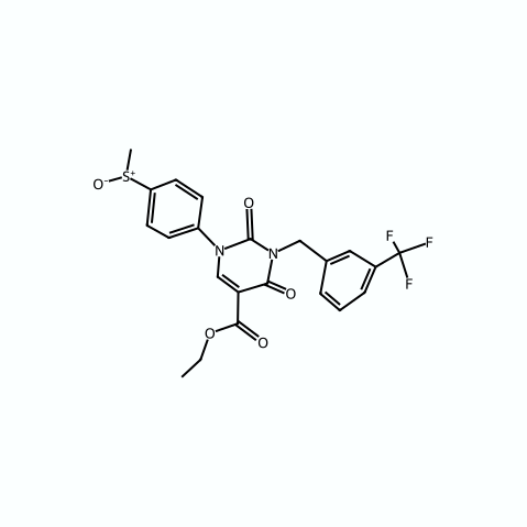 CCOC(=O)c1cn(-c2ccc([S+](C)[O-])cc2)c(=O)n(Cc2cccc(C(F)(F)F)c2)c1=O